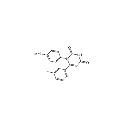 CSc1ccc(-n2c(-c3cc(C)ccn3)cc(=O)[nH]c2=O)cc1